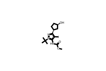 COC(=O)Nc1c(I)c([C@H]2CC[C@@H](O)C2)nn1C(C)(C)C